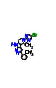 Cc1ccccc1-c1cc2c3c([nH]c2nn1)CCN(c1ncc(Br)cn1)C3C